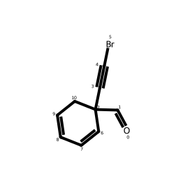 O=CC1(C#CBr)C=CC=CC1